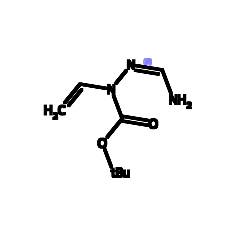 C=CN(/N=C\N)C(=O)OC(C)(C)C